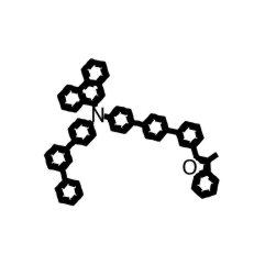 Cc1c(-c2cccc(-c3ccc(-c4ccc(N(c5ccc(-c6cccc(-c7ccccc7)c6)cc5)c5cc6ccccc6c6ccccc56)cc4)cc3)c2)oc2ccccc12